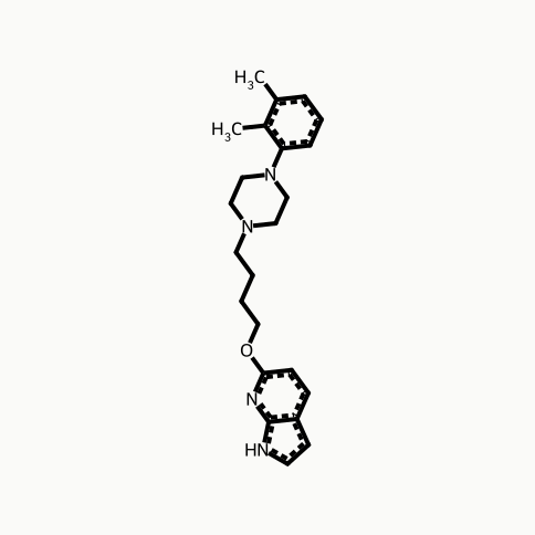 Cc1cccc(N2CCN(CCCCOc3ccc4cc[nH]c4n3)CC2)c1C